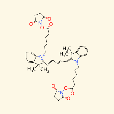 CC1(C)C(/C=C/C=C/C=C2/N(CCCCCC(=O)ON3C(=O)CCC3=O)c3ccccc3C2(C)C)=[N+](CCCCCC(=O)ON2C(=O)CCC2=O)c2ccccc21